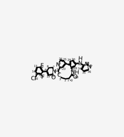 C[C@@H]1CCC[C@H](N2CCC(c3c(F)ccc(Cl)c3F)=CC2=O)c2cc(ccn2)-c2ccc(Nc3cccnn3)cc2NC1=O